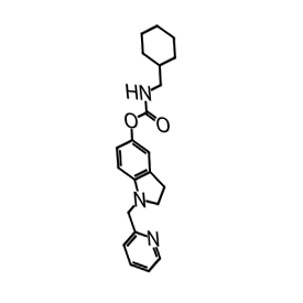 O=C(NCC1CCCCC1)Oc1ccc2c(c1)CCN2Cc1ccccn1